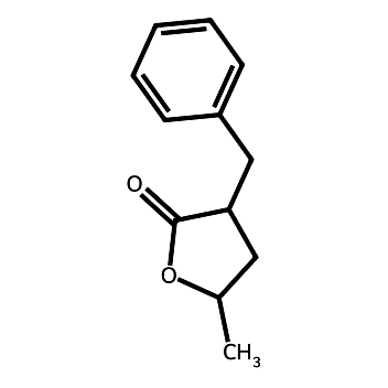 CC1CC(Cc2ccccc2)C(=O)O1